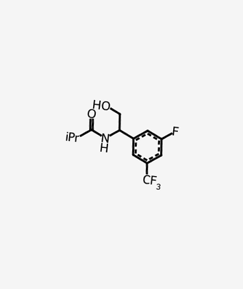 CC(C)C(=O)NC(CO)c1cc(F)cc(C(F)(F)F)c1